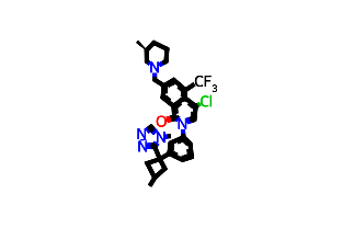 CC1CC(c2cccc(-n3cc(Cl)c4c(C(F)(F)F)cc(CN5CCC[C@H](C)C5)cc4c3=O)c2)(c2nncn2C)C1